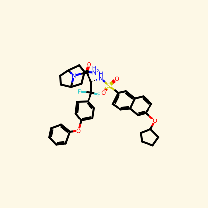 NC1CC2CCC(C1)N2C(=O)[C@H](NS(=O)(=O)c1ccc2cc(OC3CCCC3)ccc2c1)C(F)(F)c1ccc(Oc2ccccc2)cc1